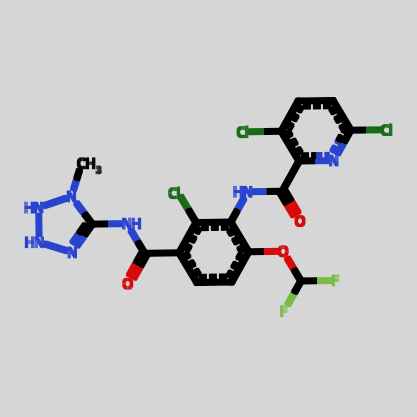 CN1NNN=C1NC(=O)c1ccc(OC(F)F)c(NC(=O)c2nc(Cl)ccc2Cl)c1Cl